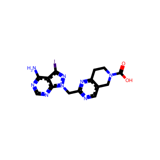 Nc1ncnc2c1c(I)nn2Cc1ncc2c(n1)CCN(C(=O)O)C2